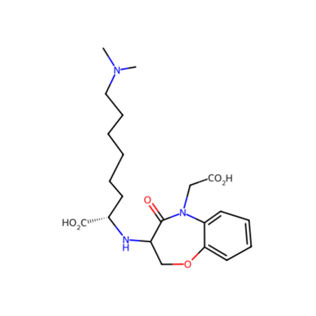 CN(C)CCCCCC[C@H](NC1COc2ccccc2N(CC(=O)O)C1=O)C(=O)O